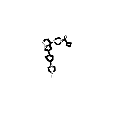 O=C(C1CCC1)N1CCN(c2ccnn3cc(-c4ccc(N5CCNCC5)cc4)cc23)CC1